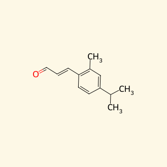 Cc1cc(C(C)C)ccc1C=CC=O